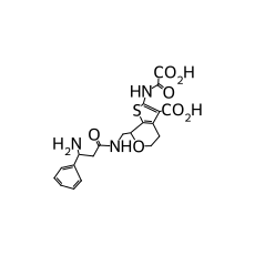 NC(CC(=O)NCC1OCCc2c1sc(NC(=O)C(=O)O)c2C(=O)O)c1ccccc1